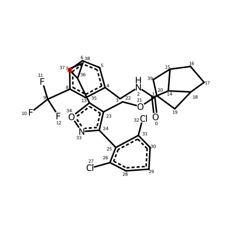 O=C(NCc1cccc(C(F)(F)F)c1)C1C2CCC1CC(OCc1c(-c3c(Cl)cccc3Cl)noc1C1CC1)C2